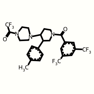 Cc1ccc(C2CN(C(=O)c3cc(C(F)(F)F)cc(C(F)(F)F)c3)CCC2N2CCN(C(=O)C(F)(F)F)CC2)cc1